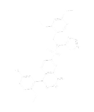 COc1ccc(CN(c2ncns2)S(=O)(=O)c2ccc3c(-c4cc(Cl)ccc4OC)n[nH]c(=O)c3c2)c(OC)c1